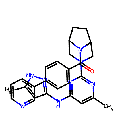 Cc1cc(Nc2cc(C)[nH]n2)nc(N2CC3CCC(C2)N3C(=O)c2ccc(-c3cccnc3)cc2)n1